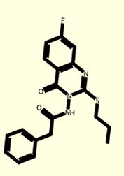 CCCSc1nc2cc(F)ccc2c(=O)n1NC(=O)Cc1ccccc1